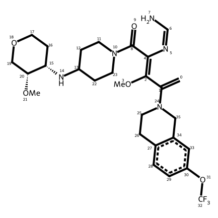 C=C(/C(OC)=C(\N=C/N)C(=O)N1CCC(N[C@H]2CCOC[C@H]2OC)CC1)N1CCc2ccc(OC(F)(F)F)cc2C1